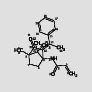 C=CC(=O)NC12CCC(C)(C(=O)C1=C(C)c1ccccc1)C2(C)C